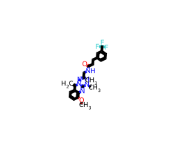 C=C1c2cccc(OC)c2N=C(NC)N1/N=C(\C)CNC(=O)CCc1cccc(C(F)(F)F)c1